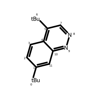 CC(C)(C)c1ccc2c(C(C)(C)C)cnnc2c1